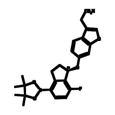 CC1(C)OB(c2ccc(F)c3c2CC[C@H]3Oc2ccc3c(CC(=O)O)coc3c2)OC1(C)C